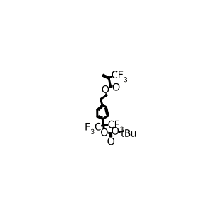 C=C(C(=O)OCCc1ccc(C(OC(=O)OC(C)(C)C)(C(F)(F)F)C(F)(F)F)cc1)C(F)(F)F